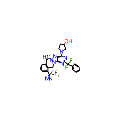 C#Cc1cccc(C2(C(F)(F)F)N=N2)c1Cn1nnc2c(N3CCC(O)C3)nc(C(F)(F)c3ccccc3)nc21